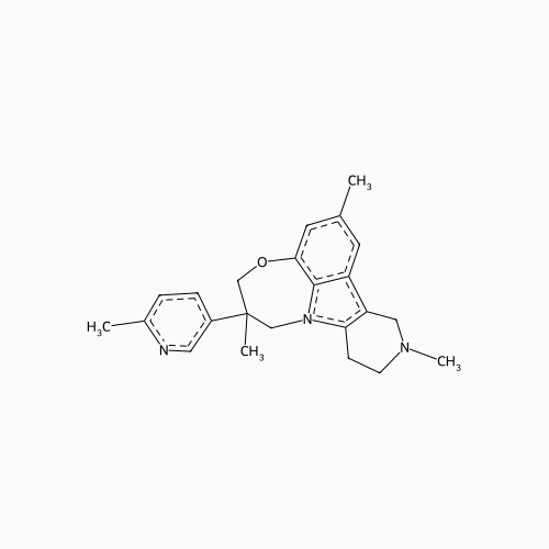 Cc1cc2c3c(c1)c1c(n3CC(C)(c3ccc(C)nc3)CO2)CCN(C)C1